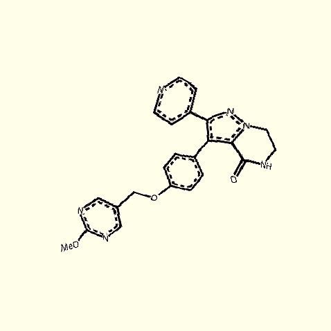 COc1ncc(COc2ccc(-c3c(-c4ccncc4)nn4c3C(=O)NCC4)cc2)cn1